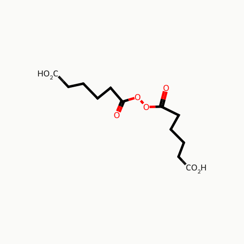 O=C(O)CCCCC(=O)OOC(=O)CCCCC(=O)O